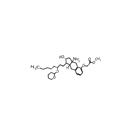 CCCCC[C@@H](CCC1[C@H](O)C[C@]2(N)Cc3c(cccc3OCC(=O)OC)C[C@H]12)OC1CCCCO1